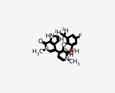 [2H]C([2H])([2H])c1cc(F)cc(C([2H])([2H])[2H])c1Oc1c(-c2cn(C)c(=O)c3[nH]ccc23)ccn(C)c1=O